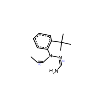 C/C=C\N(/N=C\N)c1ccccc1C(C)(C)C